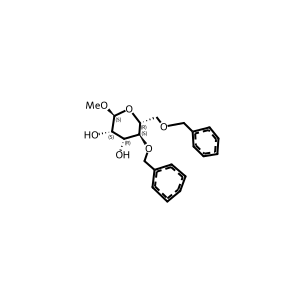 CO[C@H]1O[C@H](COCc2ccccc2)[C@@H](OCc2ccccc2)[C@H](O)[C@@H]1O